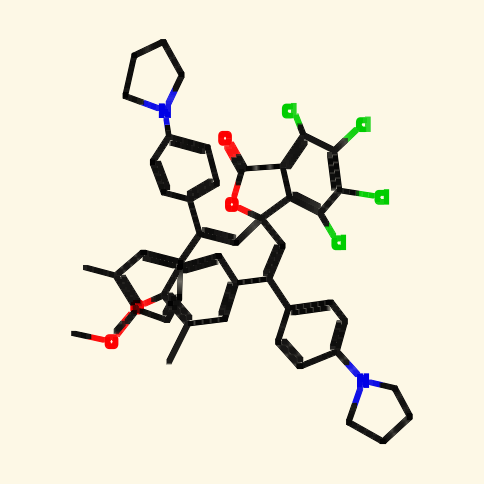 COc1ccc(C(=CC2(C=C(c3ccc(N4CCCC4)cc3)c3ccc(OC)c(C)c3)OC(=O)c3c(Cl)c(Cl)c(Cl)c(Cl)c32)c2ccc(N3CCCC3)cc2)cc1C